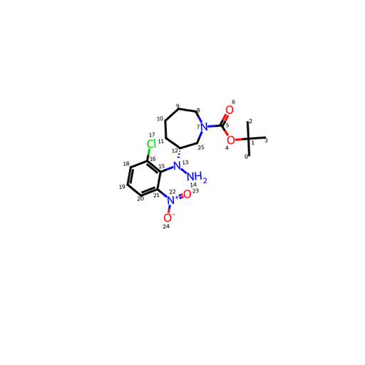 CC(C)(C)OC(=O)N1CCCC[C@@H](N(N)c2c(Cl)cccc2[N+](=O)[O-])C1